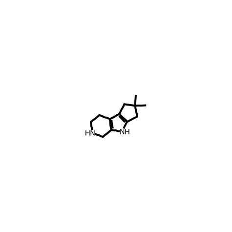 CC1(C)Cc2[nH]c3c(c2C1)CCNC3